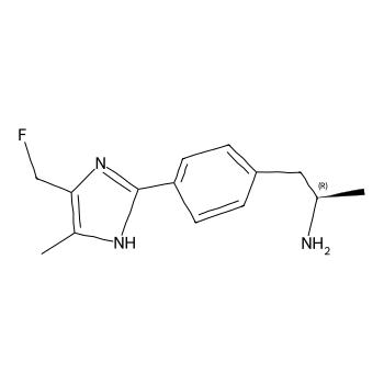 Cc1[nH]c(-c2ccc(C[C@@H](C)N)cc2)nc1CF